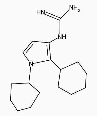 N=C(N)Nc1ccn(C2CCCCC2)c1C1CCCCC1